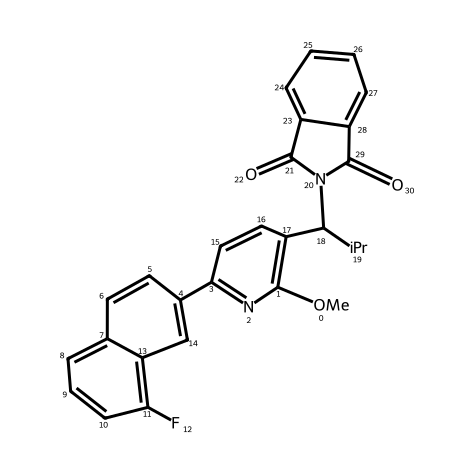 COc1nc(-c2ccc3cccc(F)c3c2)ccc1C(C(C)C)N1C(=O)c2ccccc2C1=O